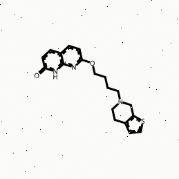 O=c1ccc2ccc(OCCCCN3CCc4ccsc4C3)nc2[nH]1